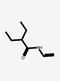 C=CNC(=O)C(CC)CC